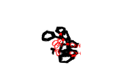 CC1(C)O[C@H](C(O)(c2ccccc2)c2ccccc2)[C@@](CC(O)(c2ccccc2)c2ccccc2)(C(O)(c2ccccc2)c2ccccc2)O1